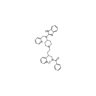 CN(CC(CCN1CCC(N(Cc2ccccn2)c2nc3ccccc3[nH]2)CC1)c1ccccc1)C(=O)c1ccccc1